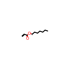 C=CC(=O)O[CH]CCCCCC